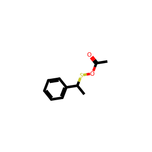 CC(=O)OSC(C)c1ccccc1